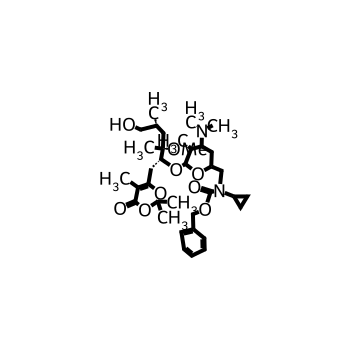 CO[C@](C)(C[C@@H](C)CO)[C@@H](CC1=C(C)C(=O)OC(C)(C)O1)OC1OC(CN(C(=O)OCc2ccccc2)C2CC2)CC(N(C)C)C1C